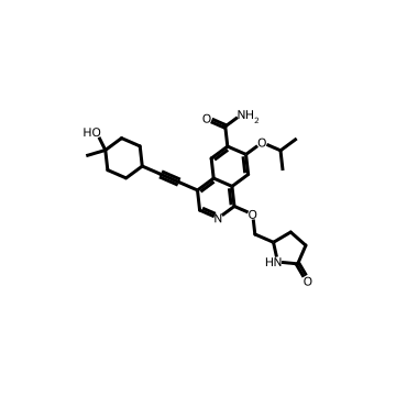 CC(C)Oc1cc2c(OCC3CCC(=O)N3)ncc(C#CC3CCC(C)(O)CC3)c2cc1C(N)=O